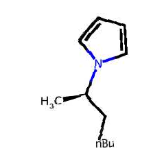 CCCCC[C@@H](C)n1cccc1